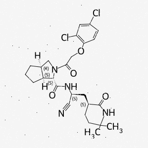 CC1(C)CC[C@@H](C[C@@H](C#N)NC(=O)[C@@H]2[C@H]3CCC[C@H]3CN2C(=O)COc2ccc(Cl)cc2Cl)C(=O)N1